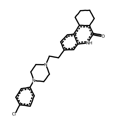 O=c1[nH]c2cc(CCN3CCN(c4ccc(Cl)cc4)CC3)ccc2c2c1CCCC2